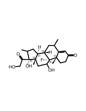 CC1C[C@H]2[C@@H]3CC(C)[C@](O)(C(=O)CO)[C@@]3(C)CC(O)[C@]2(F)[C@@]2(C)CCC(=O)C=C12